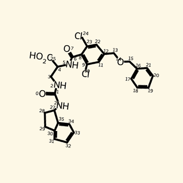 O=C(NCC(NC(=O)c1c(Cl)cc(COCc2ccccc2)cc1Cl)C(=O)O)NC1CCc2ccccc21